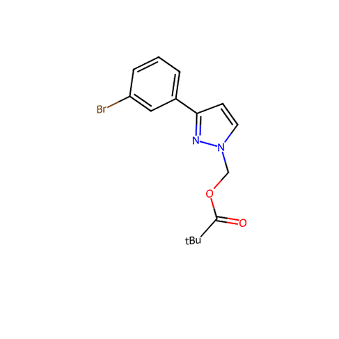 CC(C)(C)C(=O)OCn1ccc(-c2cccc(Br)c2)n1